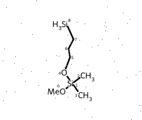 CO[Si](C)(C)OCCC[SiH3]